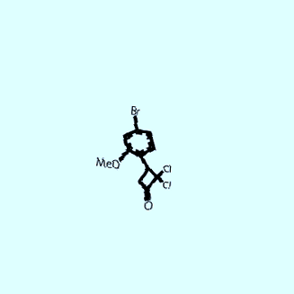 COc1cc(Br)ccc1C1CC(=O)C1(Cl)Cl